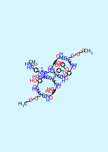 CCCOCCOCCN1CCNC(=O)c2ccc(c(O)c2O)C(=O)NCCN(CCN2CCNC(=O)c3ccc(c(OCc4ccccc4)c3OCc3ccccc3)C(=O)NCCN(CCOCCOCCOC)CCNC(=O)c3ccc(c(O)c3O)C(=O)NC(CCCCNC(=S)Nc3ccc(NC(=S)NC)cc3)C2)CCNC(=O)c2ccc(c(O)c2O)C(=O)NCC1